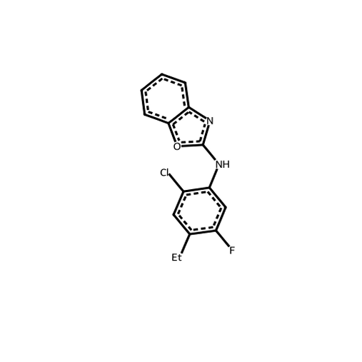 [CH2]Cc1cc(Cl)c(Nc2nc3ccccc3o2)cc1F